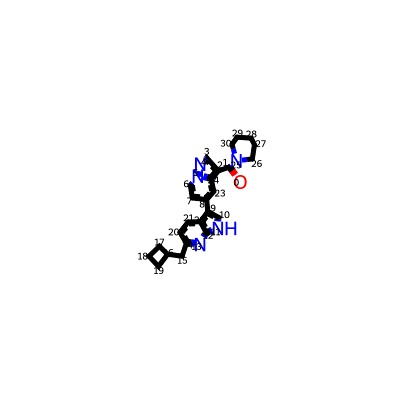 O=C(c1cnn2ccc(-c3c[nH]c4nc(CC5CCC5)ccc34)cc12)N1CCCCC1